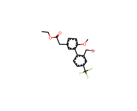 CCOC(=O)Cc1ccc(OC)c(-c2ccc(C(F)(F)F)cc2CBr)c1